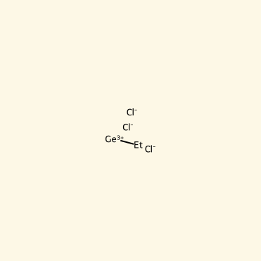 C[CH2][Ge+3].[Cl-].[Cl-].[Cl-]